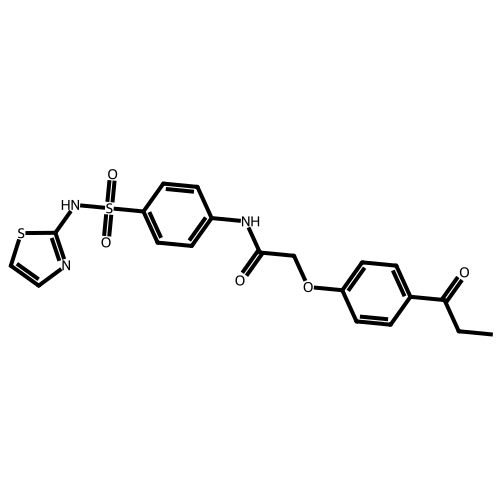 CCC(=O)c1ccc(OCC(=O)Nc2ccc(S(=O)(=O)Nc3nccs3)cc2)cc1